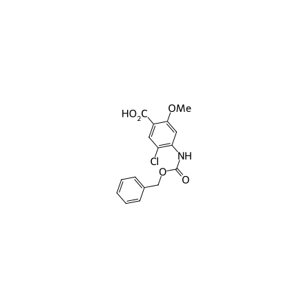 COc1cc(NC(=O)OCc2ccccc2)c(Cl)cc1C(=O)O